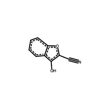 N#Cc1oc2ccccc2c1O